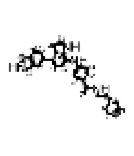 C=C(NCCN1CCOCC1)c1ccc(NC2=CC=C(c3ccc4c(c3)CNC4)N3C=CNC23)cc1